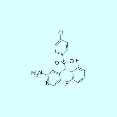 Nc1cc(C(c2c(F)cccc2F)S(=O)(=O)c2ccc(Cl)cc2)ccn1